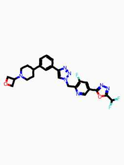 Fc1cc(-c2nnc(C(F)F)o2)cnc1Cn1cc(-c2cccc(C3CCN(C4COC4)CC3)c2)nn1